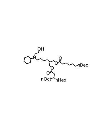 CCCCCCCCCCCCCCCC(=O)OCC(CCCCN(CCO)C1CCCCC1)COC(=O)CC(CCCCCC)CCCCCCCC